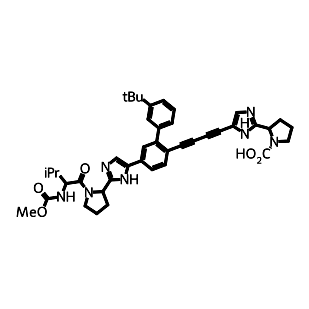 COC(=O)NC(C(=O)N1CCCC1c1ncc(-c2ccc(C#CC#Cc3cnc(C4CCCN4C(=O)O)[nH]3)c(-c3cccc(C(C)(C)C)c3)c2)[nH]1)C(C)C